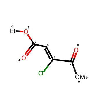 CCOC(=O)C=C(Cl)C(=O)OC